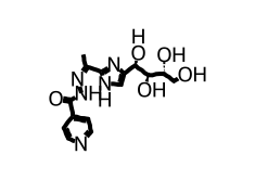 CC(=NNC(=O)c1ccncc1)c1nc([C@@H](O)[C@H](O)[C@H](O)CO)c[nH]1